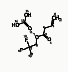 C=CCC(=O)OCC(F)(F)F.O=C(O)O